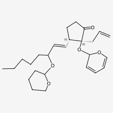 C=CC[C@@]1(OC2C=CC=CO2)C(=O)CC[C@H]1C=CC(CCCCC)OC1CCCCO1